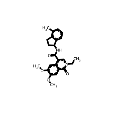 CCn1cc(C(=O)NC2CCc3c(C)cccc32)c2cc(OC)c(OC)cc2c1=O